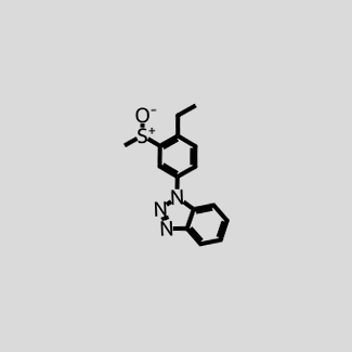 CCc1ccc(-n2nnc3ccccc32)cc1[S+](C)[O-]